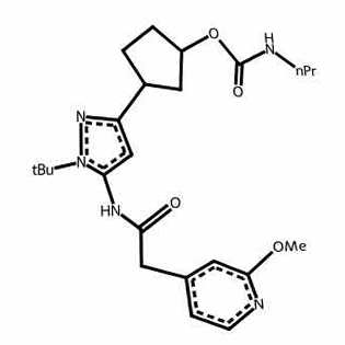 CCCNC(=O)OC1CCC(c2cc(NC(=O)Cc3ccnc(OC)c3)n(C(C)(C)C)n2)C1